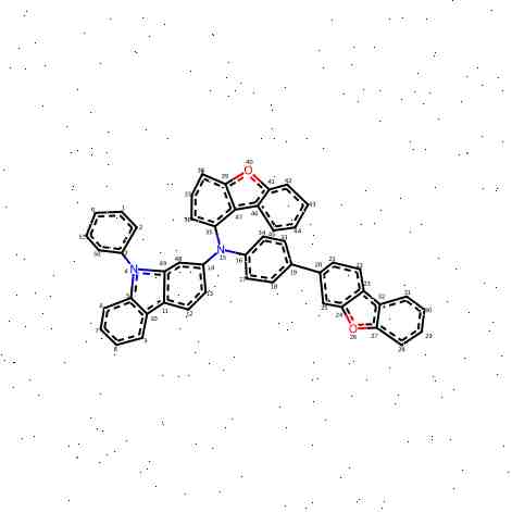 c1ccc(-n2c3ccccc3c3ccc(N(c4ccc(-c5ccc6c(c5)oc5ccccc56)cc4)c4cccc5oc6ccccc6c45)cc32)cc1